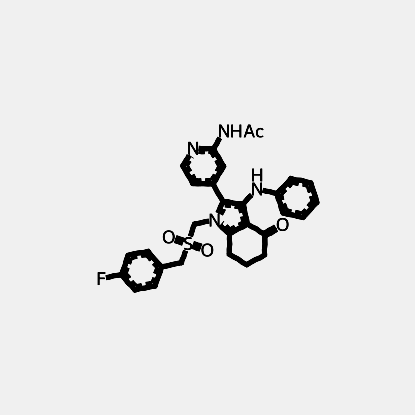 CC(=O)Nc1cc(-c2c(Nc3ccccc3)c3c(n2CS(=O)(=O)Cc2ccc(F)cc2)CCCC3=O)ccn1